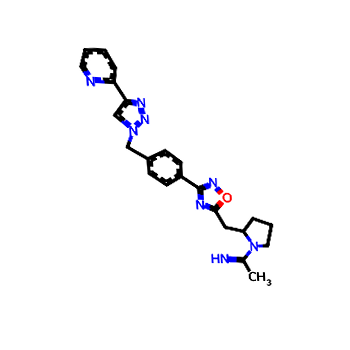 CC(=N)N1CCCC1Cc1nc(-c2ccc(Cn3cc(-c4ccccn4)nn3)cc2)no1